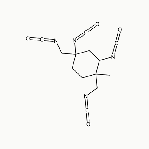 CC1(CN=C=O)CCC(CN=C=O)(N=C=O)CC1N=C=O